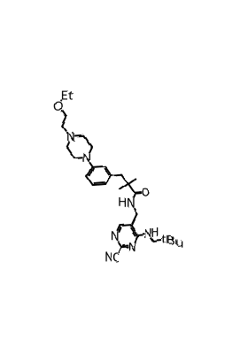 CCOCCN1CCN(c2cccc(CC(C)(C)C(=O)NCc3cnc(C#N)nc3NCC(C)(C)C)c2)CC1